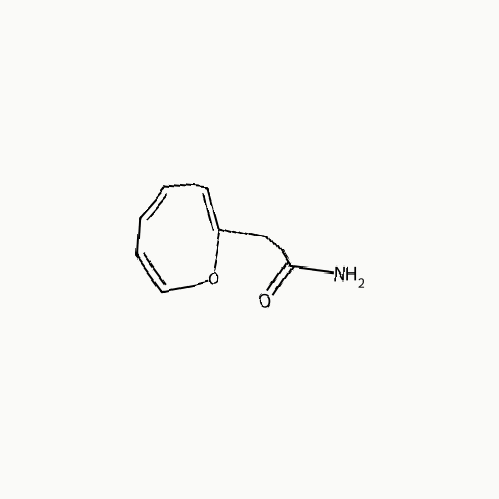 NC(=O)CC1=CC=CC=CO1